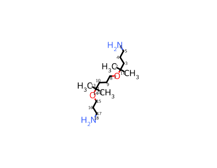 CC(C)(CCCN)OCCCC(C)(C)OCCCN